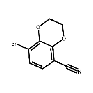 N#Cc1ccc(Br)c2c1OCCO2